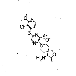 COc1nccc(Sc2cnc(N3CCC4(CC3)CO[C@@H](C)[C@H]4N)c([S+](C)[O-])n2)c1Cl